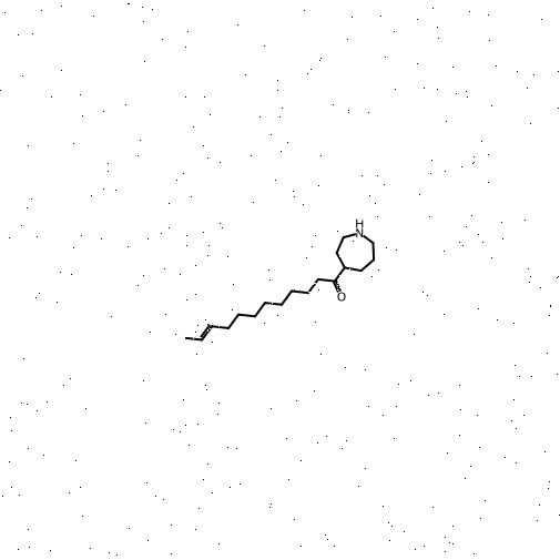 CC=CCCCCCCCCC(=O)C1CCCNCC1